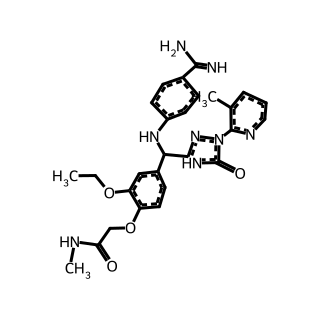 CCOc1cc(C(Nc2ccc(C(=N)N)cc2)c2nn(-c3ncccc3C)c(=O)[nH]2)ccc1OCC(=O)NC